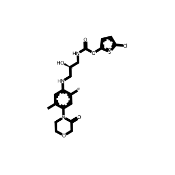 Cc1cc(NC[C@@H](O)CNC(=O)Oc2ccc(Cl)s2)c(F)cc1N1CCOCC1=O